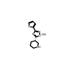 Cl.c1coc(-c2noc([C@H]3CCCNC3)n2)c1